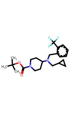 CC(C)(C)OC(=O)N1CCC(N(Cc2ccccc2C(F)(F)F)CC2CC2)CC1